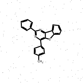 Cc1ccc(-c2nc(-c3ccccc3)nc3c2sc2ccccc23)cc1